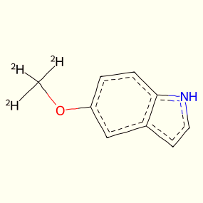 [2H]C([2H])([2H])Oc1ccc2[nH]ccc2c1